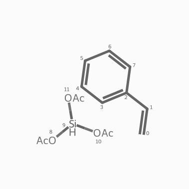 C=Cc1ccccc1.CC(=O)O[SiH](OC(C)=O)OC(C)=O